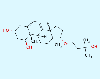 CC(C)(O)CCO[C@H]1CC[C@H]2C3=CC=C4C[C@@H](O)C[C@H](O)[C@@]4(C)[C@H]3CC[C@]12C